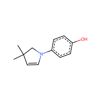 CC1(C)C=CN(c2ccc(O)cc2)C1